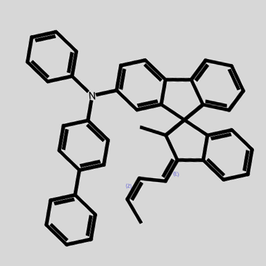 C/C=C\C=C1\c2ccccc2C2(c3ccccc3-c3ccc(N(c4ccccc4)c4ccc(-c5ccccc5)cc4)cc32)C1C